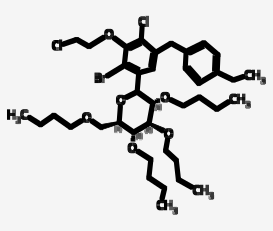 CCCCOC[C@H]1OC(c2cc(Cc3ccc(CC)cc3)c(Cl)c(OCCCl)c2Br)[C@H](OCCCC)[C@@H](OCCCC)[C@@H]1OCCCC